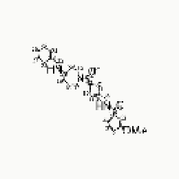 COc1cccc(C(=O)NCc2ccc([S+]([O-])N3CCCC(NCC4CCCCC4)CC3)s2)c1